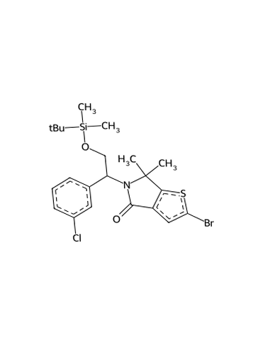 CC1(C)c2sc(Br)cc2C(=O)N1C(CO[Si](C)(C)C(C)(C)C)c1cccc(Cl)c1